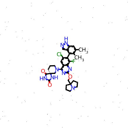 Cc1cc2[nH]ncc2c(-c2c(Cl)cc3c(N4CCC[C@]5(C4)NC(=O)NC5=O)nc(OCC45CCCN4CCC5)nc3c2F)c1C